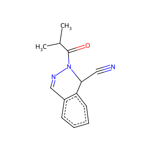 CC(C)C(=O)N1N=Cc2ccccc2C1C#N